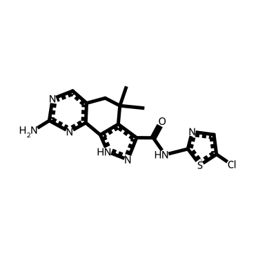 CC1(C)Cc2cnc(N)nc2-c2[nH]nc(C(=O)Nc3ncc(Cl)s3)c21